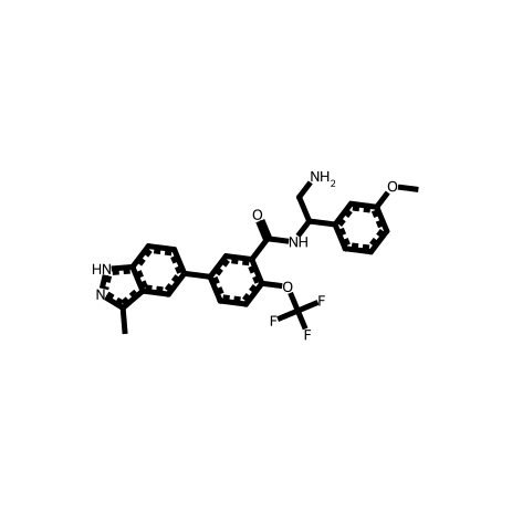 COc1cccc(C(CN)NC(=O)c2cc(-c3ccc4[nH]nc(C)c4c3)ccc2OC(F)(F)F)c1